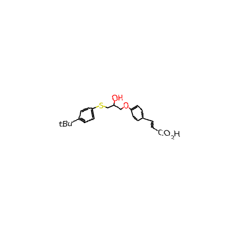 CC(C)(C)c1ccc(SCC(O)COc2ccc(C=CC(=O)O)cc2)cc1